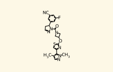 Cc1cnn(C)c1-c1csc(OC2CN(C(=O)N3N=CCC3c3cc(F)cc(C#N)c3)C2)n1